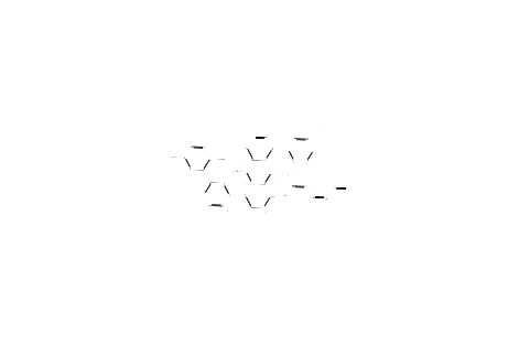 C=C/C(C)=C\C=C(/C)N(c1ccc(C)cc1)c1c2ccccc2c(N(Cc2ccc(C)cc2)c2ccc(C)cc2)c2ccccc12